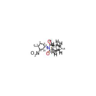 Cc1ccc(N2C(=O)[C@@H]3[C@@H]4CC[C@@H]([C@@H]5C[C@@H]54)[C@@H]3C2=O)cc1[N+](=O)[O-]